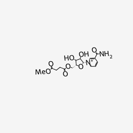 COC(=O)CCC(=O)OC[C@H]1O[C@@H]([n+]2cccc(C(N)=O)c2)[C@H](O)[C@@H]1O